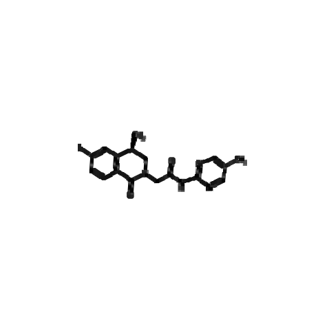 Cc1cnc(NC(=O)CN2C[C@H](C)c3cc(I)ccc3C2=O)nc1